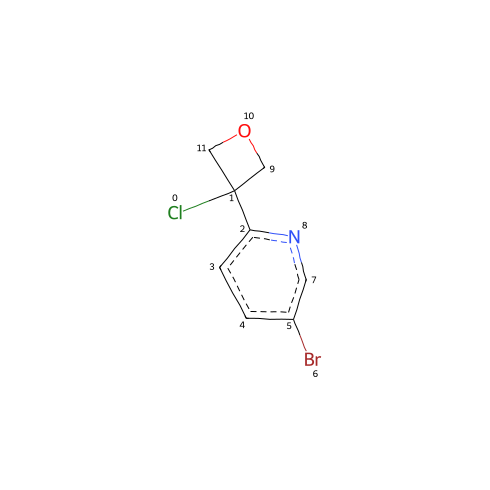 ClC1(c2ccc(Br)cn2)COC1